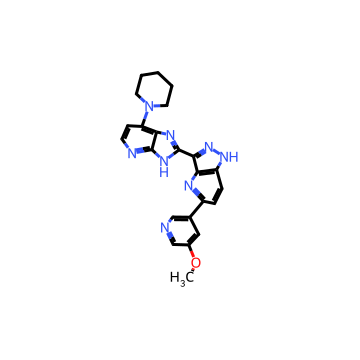 COc1cncc(-c2ccc3[nH]nc(-c4nc5c(N6CCCCC6)ccnc5[nH]4)c3n2)c1